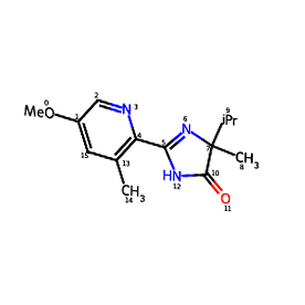 COc1cnc(C2=NC(C)(C(C)C)C(=O)N2)c(C)c1